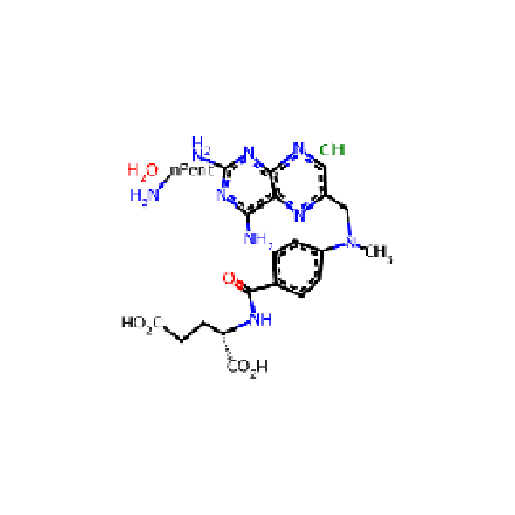 CCCCCN.CN(Cc1cnc2nc(N)nc(N)c2n1)c1ccc(C(=O)N[C@@H](CCC(=O)O)C(=O)O)cc1.Cl.O